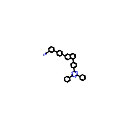 N#Cc1cccc(-c2ccc(-c3ccc4c(-c5ccc(-c6nc(C7=CCCC=C7)nc(C7C=CC=CC7)n6)cc5)cccc4c3)cc2)c1